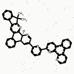 CC1(C)c2ccccc2-c2cc3c(nc21)[C@H]1N=CC(c2cccc(-c4ccc5c6ccccc6c6cccnc6c5n4)n2)=CC1c1ccccc1-3